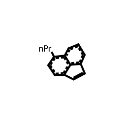 CCCc1ccc2c3c(cccc13)C=C2